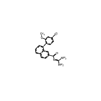 COc1cc(Cl)ccc1-c1cccc2ccc(C(=O)N=C(N)N)cc12